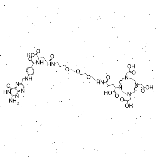 Nc1nc2ncc(CNc3ccc(C(=O)N[C@@H](CCC(=O)NCCCOCCOCCOCCCNC(=O)CCC(C(=O)O)N4CCN(CC(=O)O)CCN(CC(=O)O)CCN(CC(=O)O)CC4)C(=O)O)cc3)nc2c(=O)[nH]1